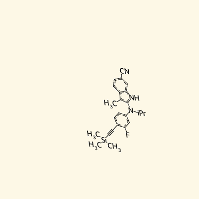 Cc1c(N(c2ccc(C#C[Si](C)(C)C)c(F)c2)C(C)C)[nH]c2cc(C#N)ccc12